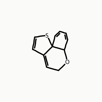 C1=CC2OCC=C3C=CSC32C=C1